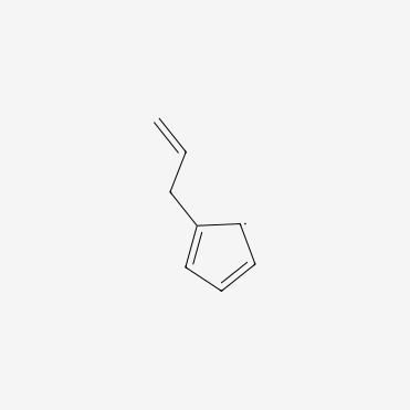 C=CCC1=CC=C[CH]1